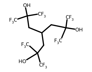 OC(CC(CC(O)(C(F)(F)F)C(F)(F)F)CC(O)(C(F)(F)F)C(F)(F)F)(C(F)(F)F)C(F)(F)F